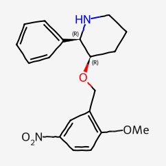 COc1ccc([N+](=O)[O-])cc1CO[C@@H]1CCCN[C@@H]1c1ccccc1